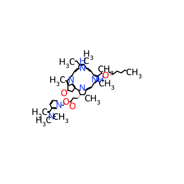 C=C(c1ccc[n+](COC(=O)CC[C@@H]2c3nc(cc4[nH]c(cc5[nH]c(cc6nc7c3CC(=O)C7=C6C)c(CC)c5C)c(C(C)OCCCCCC)c4C)C2C)c1)N(C)C